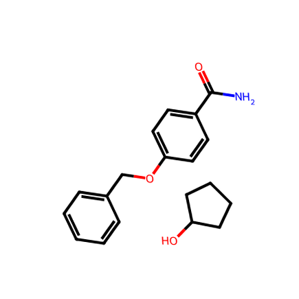 NC(=O)c1ccc(OCc2ccccc2)cc1.OC1CCCC1